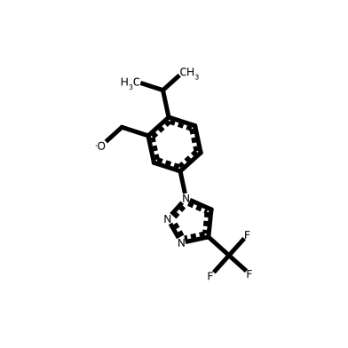 CC(C)c1ccc(-n2cc(C(F)(F)F)nn2)cc1C[O]